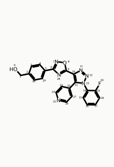 OCc1ccc(-c2noc(-c3nnn(-c4ccccc4F)c3-c3ccncc3)n2)cc1